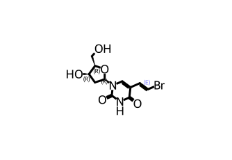 O=c1[nH]c(=O)n([C@H]2C[C@@H](O)[C@@H](CO)O2)cc1/C=C/Br